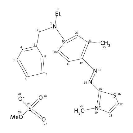 CCN(Cc1ccccc1)c1ccc(N=Nc2scc[n+]2C)c(C)c1.COS(=O)(=O)[O-]